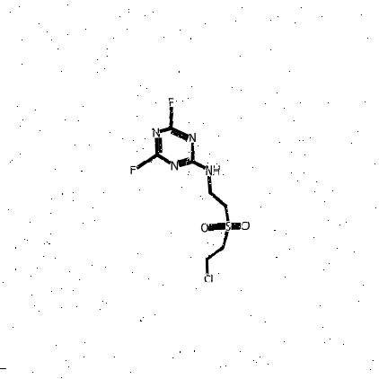 O=S(=O)(CCCl)CCNc1nc(F)nc(F)n1